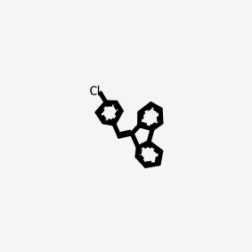 Clc1ccc(C=C2c3ccccc3-c3ccccc32)cc1